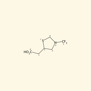 O=C(O)CC1CN(C(F)(F)F)CS1